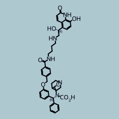 O=C(NCCCCNC[C@H](O)c1ccc(O)c2[nH]c(=O)ccc12)c1ccc(COc2cccc([C@@H](c3ccccc3)N(C(=O)O)C3CN4CCC3CC4)c2)cc1